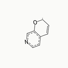 [CH]1C=Cc2ccncc2O1